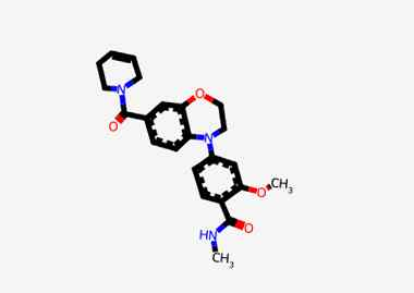 CNC(=O)c1ccc(N2CCOc3cc(C(=O)N4CC=CCC4)ccc32)cc1OC